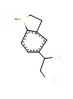 NC(CC(=O)O)c1ccc2c(c1)CC[S+]2[O-]